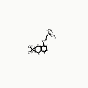 CN(C)CCOc1cccc2c1CC1C(C2)C1(Cl)Cl